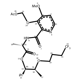 COc1ccnc(C(=O)N[C@@H](C)C(=O)O[C@H](C(C)C)[C@H](C)OCCCC(F)(F)F)c1OCOC(C)=O